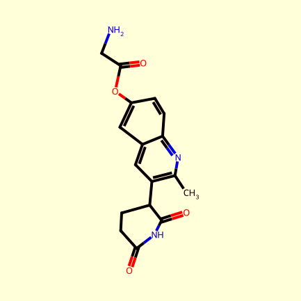 Cc1nc2ccc(OC(=O)CN)cc2cc1C1CCC(=O)NC1=O